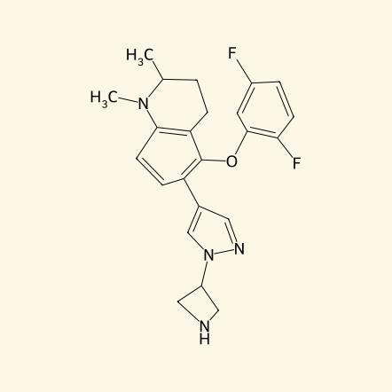 CC1CCc2c(ccc(-c3cnn(C4CNC4)c3)c2Oc2cc(F)ccc2F)N1C